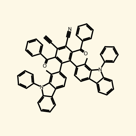 C#Cc1c(C#N)c(C(=O)c2ccccc2)c(-c2ccc3c4ccccc4n(-c4ccccc4)c3c2C)c(-c2ccc3c4ccccc4n(-c4ccccc4)c3c2C)c1C(=O)c1ccccc1